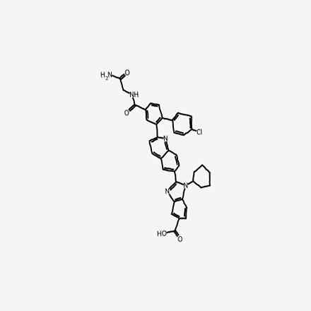 NC(=O)CNC(=O)c1ccc(-c2ccc(Cl)cc2)c(-c2ccc3cc(-c4nc5cc(C(=O)O)ccc5n4C4CCCCC4)ccc3n2)c1